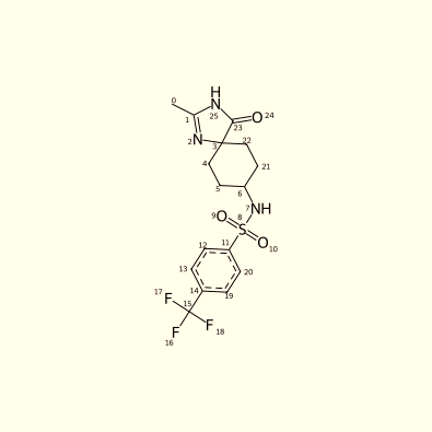 CC1=NC2(CCC(NS(=O)(=O)c3ccc(C(F)(F)F)cc3)CC2)C(=O)N1